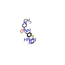 CN1CCC(C(=O)NCc2ccc3c(c2)Nc2nccnc2S3)CC1